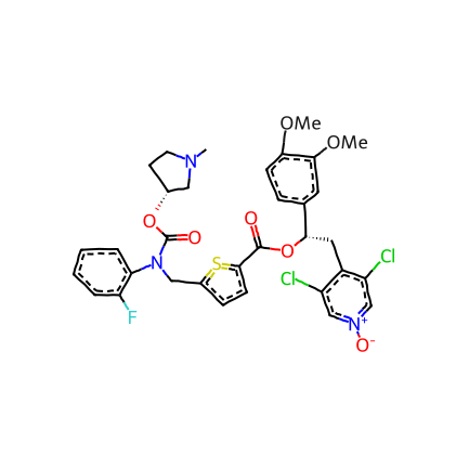 COc1ccc([C@H](Cc2c(Cl)c[n+]([O-])cc2Cl)OC(=O)c2ccc(CN(C(=O)O[C@@H]3CCN(C)C3)c3ccccc3F)s2)cc1OC